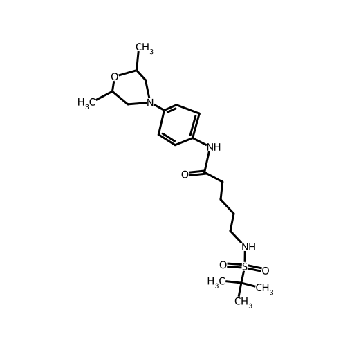 CC1CN(c2ccc(NC(=O)CCCCNS(=O)(=O)C(C)(C)C)cc2)CC(C)O1